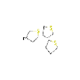 C1CCSC1.C1CCSC1.C1CCSC1.[Ir]